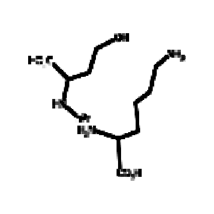 CCCNC(CCO)C(=O)O.NCCCCC(N)C(=O)O